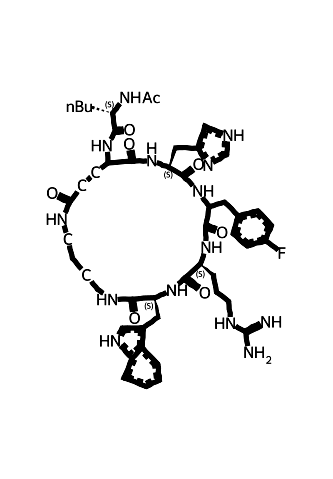 CCCC[C@H](NC(C)=O)C(=O)NC1CCC(=O)NCCCCNC(=O)[C@H](Cc2c[nH]c3ccccc23)NC(=O)[C@H](CCCNC(=N)N)NC(=O)C(Cc2ccc(F)cc2)NC(=O)[C@H](Cc2c[nH]cn2)NC1=O